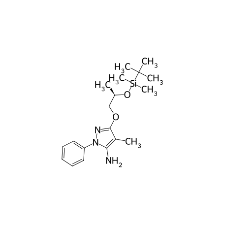 Cc1c(OC[C@@H](C)O[Si](C)(C)C(C)(C)C)nn(-c2ccccc2)c1N